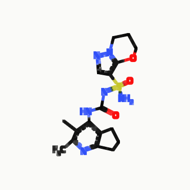 Cc1c(C(F)(F)F)nc2c(c1NC(=O)N=[S@@](N)(=O)c1cnn3c1OCCC3)CCC2